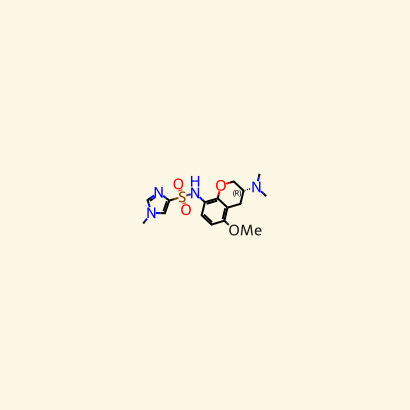 COc1ccc(NS(=O)(=O)c2cn(C)cn2)c2c1C[C@@H](N(C)C)CO2